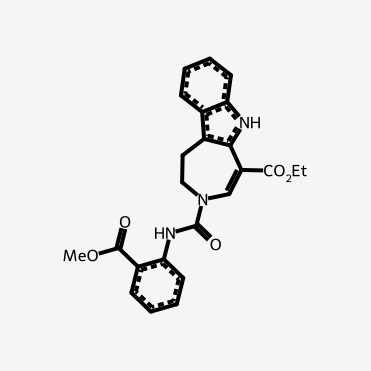 CCOC(=O)C1=CN(C(=O)Nc2ccccc2C(=O)OC)CCc2c1[nH]c1ccccc21